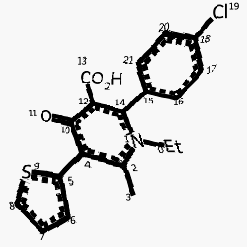 CCn1c(C)c(-c2cccs2)c(=O)c(C(=O)O)c1-c1ccc(Cl)cc1